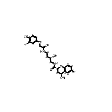 O=C(COc1ccc(Cl)c(F)c1)NCC[C@H](O)CNC(=O)[C@@H]1C[C@H](O)c2cc(Cl)ccc2O1